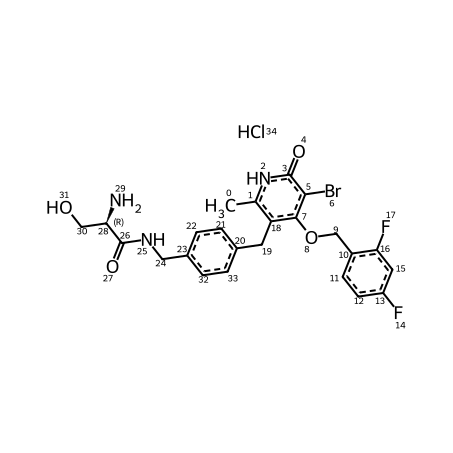 Cc1[nH]c(=O)c(Br)c(OCc2ccc(F)cc2F)c1Cc1ccc(CNC(=O)[C@H](N)CO)cc1.Cl